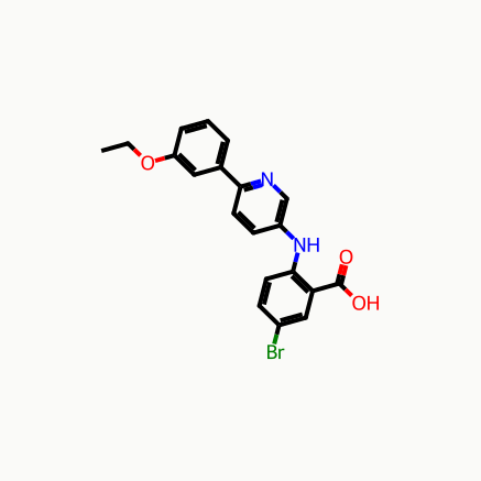 CCOc1cccc(-c2ccc(Nc3ccc(Br)cc3C(=O)O)cn2)c1